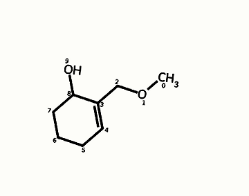 COCC1=CCCCC1O